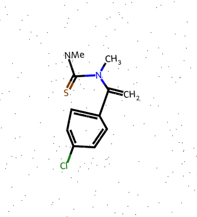 C=C(c1ccc(Cl)cc1)N(C)C(=S)NC